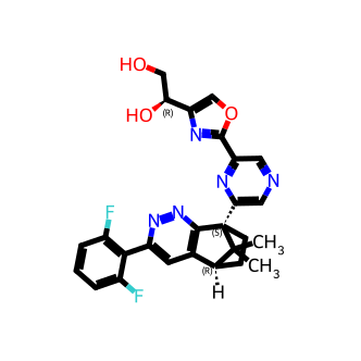 CC1(C)[C@H]2CC[C@]1(c1cncc(-c3nc([C@@H](O)CO)co3)n1)c1nnc(-c3c(F)cccc3F)cc12